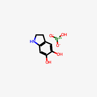 Oc1cc2c(cc1O)NCC2.[O-][Br+2]([O-])O